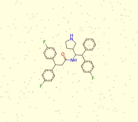 O=C(CC(c1ccc(F)cc1)c1ccc(F)cc1)NC(C1CCNC1)C(c1ccccc1)c1ccc(F)cc1